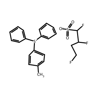 Cc1ccc([S+](c2ccccc2)c2ccccc2)cc1.O=S(=O)([O-])C(F)C(F)CCF